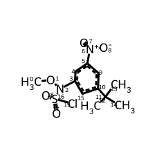 CON(c1cc([N+](=O)[O-])cc(C(C)(C)C)c1)S(=O)(=O)Cl